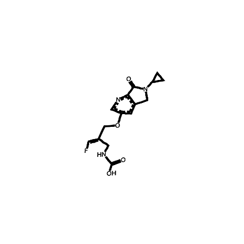 O=C(O)NC/C(=C\F)COc1cnc2c(c1)CN(C1CC1)C2=O